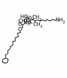 COC(COCCCCCCCCCCCCC1CCCCC1)COP(=O)(O)OC(C)(C)C(C)CCCCCCCCN